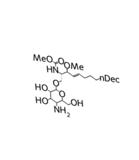 CCCCCCCCCCCCC/C=C/[C@H](OC)[C@H](COC1OC(CO)C(N)C(O)C1O)NC(=O)OC